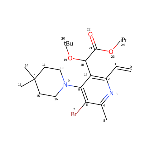 C=Cc1nc(C)c(Br)c(N2CCC(C)(C)CC2)c1C(OC(C)(C)C)C(=O)OC(C)C